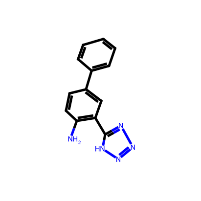 Nc1ccc(-c2ccccc2)cc1-c1nnn[nH]1